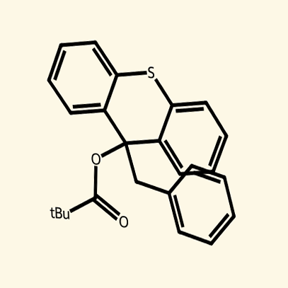 CC(C)(C)C(=O)OC1(Cc2ccccc2)c2ccccc2Sc2ccccc21